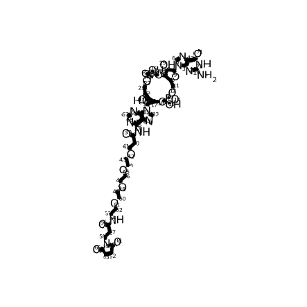 Nc1nc2c(ncn2C2OC3COP(=O)(O)OC4C(O)C(COP(=O)(O)OC3C2O)OC4n2cnc3c(NC(=O)CCOCCOCCOCCOCCNC(=O)CCN4C(=O)C=CC4=O)ncnc32)c(=O)[nH]1